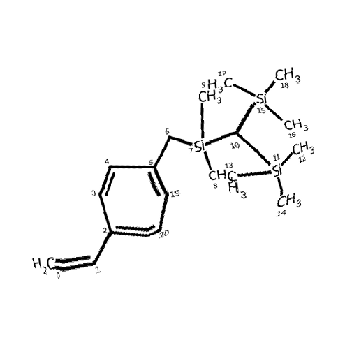 C=Cc1ccc(C[Si](C)(C)C([Si](C)(C)C)[Si](C)(C)C)cc1